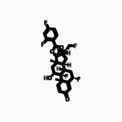 C[C@]12C=CC(=O)C=C1[C@@H](F)C[C@H]1[C@@H]3C[C@H]4OC(c5ccc(F)cc5F)O[C@@]4(C(=O)SCF)[C@@]3(C)C[C@H](O)[C@@]12F